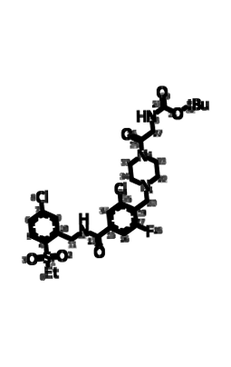 CCS(=O)(=O)c1ccc(Cl)cc1CNC(=O)c1cc(F)c(CN2CCN(C(=O)CNC(=O)OC(C)(C)C)CC2)c(Cl)c1